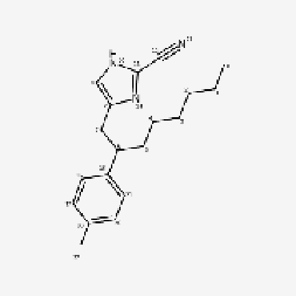 CCCCCCC(Cc1c[nH]c(C#N)n1)c1ccc(I)cc1